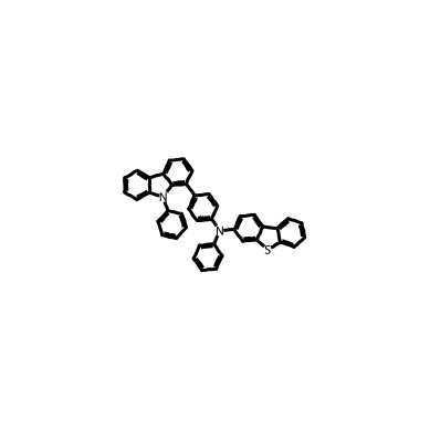 c1ccc(N(c2ccc(-c3cccc4c5ccccc5n(-c5ccccc5)c34)cc2)c2ccc3c(c2)sc2ccccc23)cc1